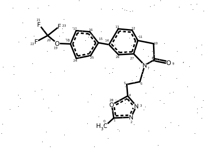 Cc1nnc(CCN2C(=O)Cc3ccc(-c4ccc(OC(F)(F)F)cc4)cc32)o1